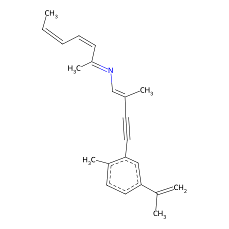 C=C(C)c1ccc(C)c(C#C/C(C)=C/N=C(C)/C=C\C=C/C)c1